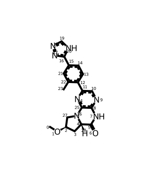 CO[C@@H]1C[C@H]2C(=O)Nc3ncc(-c4ccc(-c5nnc[nH]5)cc4C)nc3N2C1